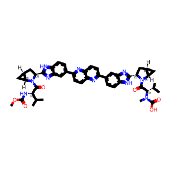 COC(=O)N[C@H](C(=O)N1[C@@H]2C[C@H]2C[C@H]1c1nc2cc(-c3ccc4nc(-c5ccc6[nH]c([C@@H]7C[C@H]8C[C@H]8N7C(=O)[C@H](C(C)C)N(C)C(=O)O)nc6c5)ccc4n3)ccc2[nH]1)C(C)C